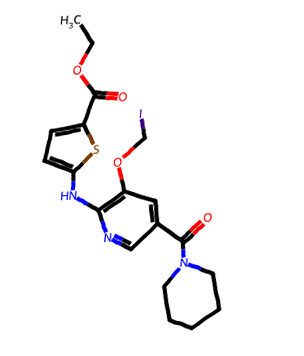 CCOC(=O)c1ccc(Nc2ncc(C(=O)N3CCCCC3)cc2OCI)s1